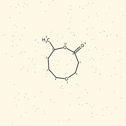 CC1CCCOCCC(=O)O1